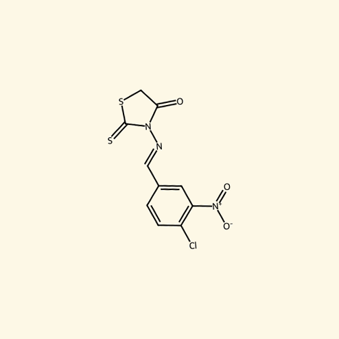 O=C1CSC(=S)N1/N=C/c1ccc(Cl)c([N+](=O)[O-])c1